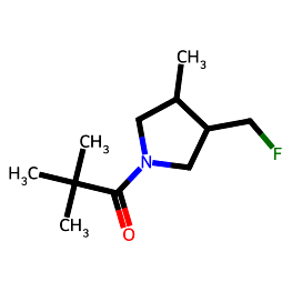 CC1CN(C(=O)C(C)(C)C)CC1CF